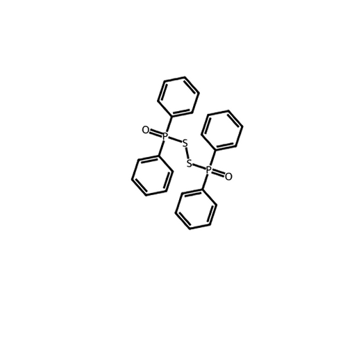 O=P(SSP(=O)(c1ccccc1)c1ccccc1)(c1ccccc1)c1ccccc1